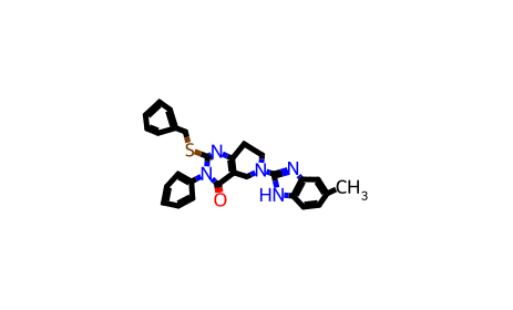 Cc1ccc2[nH]c(N3CCc4nc(SCc5ccccc5)n(-c5ccccc5)c(=O)c4C3)nc2c1